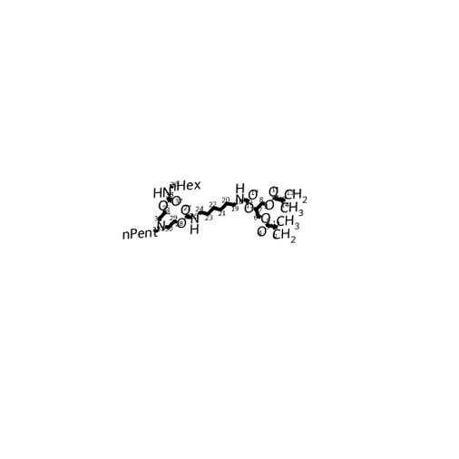 C=C(C)C(=O)OCC(COC(=O)C(=C)C)OC(=O)NCCCCCCNC(=O)OCCN(CCCCC)CCOC(=O)NCCCCCC